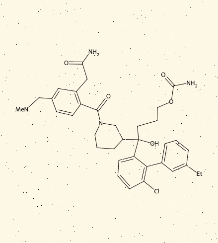 CCc1cccc(-c2c(Cl)cccc2C(O)(CCCOC(N)=O)C2CCCN(C(=O)c3ccc(CNC)cc3CC(N)=O)C2)c1